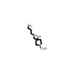 CCOC(=O)N1CCC(O)(CNCCCN)CC1